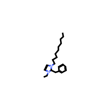 CCCCCCCCCCN1C=CN(CC)C1Cc1ccccc1